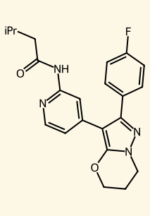 CC(C)CC(=O)Nc1cc(-c2c(-c3ccc(F)cc3)nn3c2OCCC3)ccn1